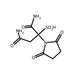 NC(=O)CC(C(N)=O)(N1C(=O)CCC1=O)S(=O)(=O)O